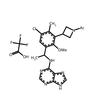 COc1c(C(C)Nc2ncnc3[nH]cnc23)cc(Cl)c(C)c1C1CN(C(C)=O)C1.O=C(O)C(F)(F)F